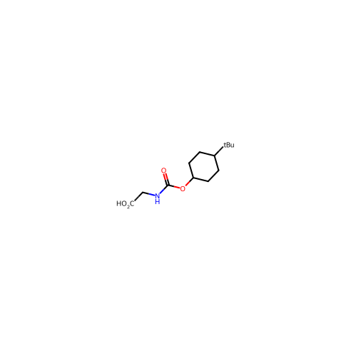 CC(C)(C)C1CCC(OC(=O)NCC(=O)O)CC1